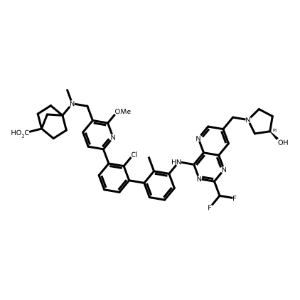 COc1nc(-c2cccc(-c3cccc(Nc4nc(C(F)F)nc5cc(CN6CC[C@@H](O)C6)cnc45)c3C)c2Cl)ccc1CN(C)C12CCC(C(=O)O)(CC1)C2